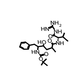 CC(CC(O)C(Cc1ccccc1)NC(=O)OC(C)(C)C)C(=O)N[C@@H](C(=O)NC(=N)N)C(C)C